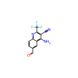 N#Cc1c(C(F)(F)F)nc2ccc(C=O)cc2c1N